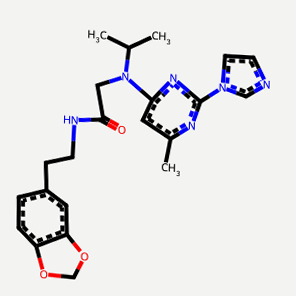 Cc1cc(N(CC(=O)NCCc2ccc3c(c2)OCO3)C(C)C)nc(-n2ccnc2)n1